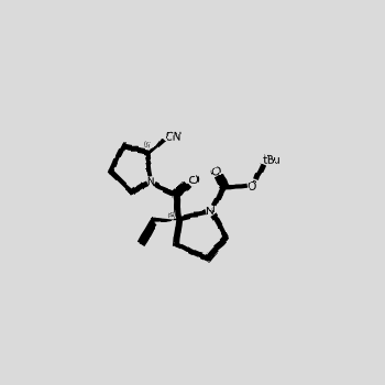 C=C[C@]1(C(=O)N2CCC[C@H]2C#N)CCCN1C(=O)OC(C)(C)C